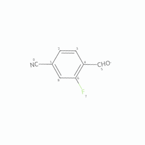 N#Cc1ccc([C]=O)c(F)c1